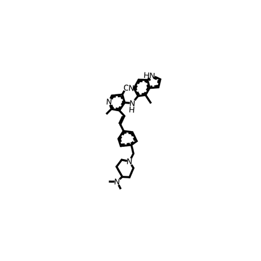 Cc1ncc(C#N)c(Nc2ccc3[nH]ccc3c2C)c1C=Cc1ccc(CN2CCC(N(C)C)CC2)cc1